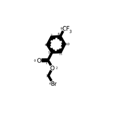 O=C(OCBr)c1ccc(C(F)(F)F)cc1